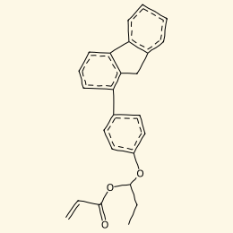 C=CC(=O)OC(CC)Oc1ccc(-c2cccc3c2Cc2ccccc2-3)cc1